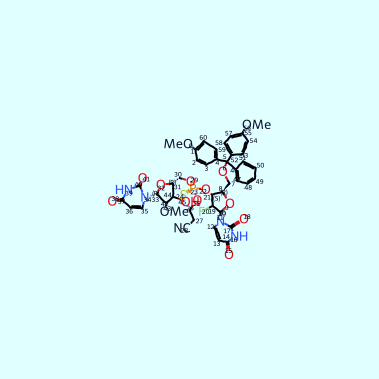 COc1ccc(C(OC[C@H]2O[C@@H](n3ccc(=O)[nH]c3=O)C(F)[C@H]2OP(=S)(OCCC#N)OC[C@H]2O[C@@H](n3ccc(=O)[nH]c3=O)C(OC)C2O)(c2ccccc2)c2ccc(OC)cc2)cc1